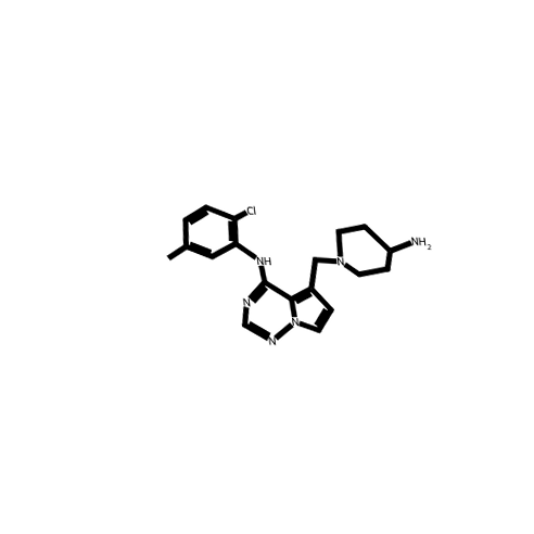 Cc1ccc(Cl)c(Nc2ncnn3ccc(CN4CCC(N)CC4)c23)c1